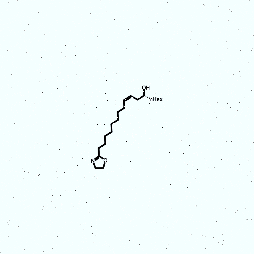 CCCCCC[C@@H](O)C/C=C\CCCCCCCCC1=NCCO1